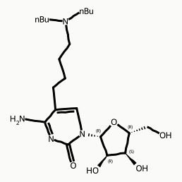 CCCCN(CCCC)CCCCc1cn([C@@H]2O[C@H](CO)[C@@H](O)[C@H]2O)c(=O)nc1N